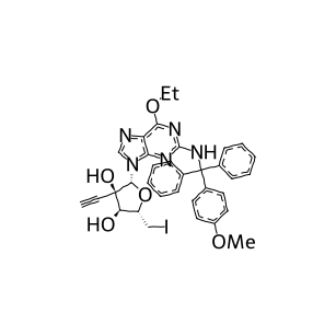 C#C[C@@]1(O)[C@H](O)[C@@H](CI)O[C@H]1n1cnc2c(OCC)nc(NC(c3ccccc3)(c3ccccc3)c3ccc(OC)cc3)nc21